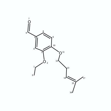 CCOc1cc(C=O)ccc1OCCC=C(C)C